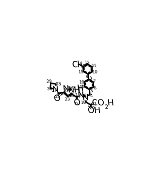 O=C(NN(Cc1ccc(-c2cccc(Cl)c2)cc1)CC(O)C(=O)O)c1cc(C(=O)N2CCC2)n[nH]1